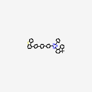 CC1(C)c2ccccc2-c2c(-c3nc(-c4ccccc4)nc(-c4ccc(-c5ccc(-c6ccc(-c7cccc8sc9ccccc9c78)cc6)cc5)cc4)n3)cccc21